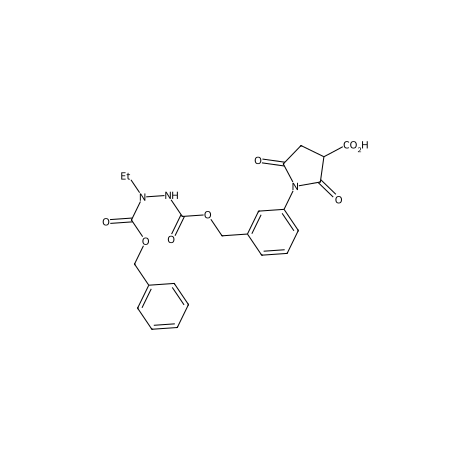 CCN(NC(=O)OCc1cccc(N2C(=O)CC(C(=O)O)C2=O)c1)C(=O)OCc1ccccc1